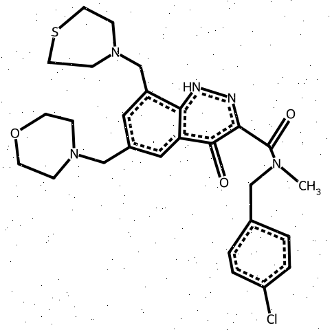 CN(Cc1ccc(Cl)cc1)C(=O)c1n[nH]c2c(CN3CCSCC3)cc(CN3CCOCC3)cc2c1=O